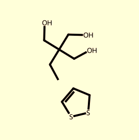 C1=CSSC1.CCC(CO)(CO)CO